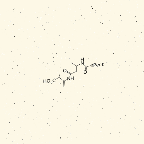 C=C(NC(=O)CC(C)NC(=O)CCCCC)C(C)C(=O)O